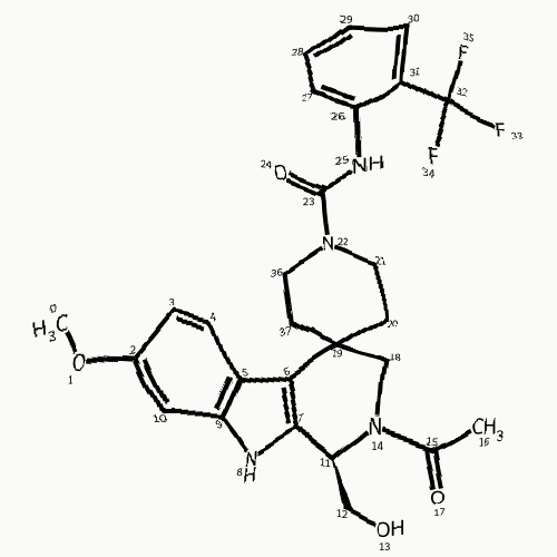 COc1ccc2c3c([nH]c2c1)[C@H](CO)N(C(C)=O)CC31CCN(C(=O)Nc2ccccc2C(F)(F)F)CC1